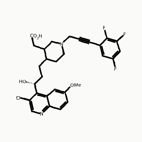 COc1ccc2ncc(Cl)c([C@H](O)CCC3CCN(CC#Cc4cc(F)cc(F)c4F)CC3CC(=O)O)c2c1